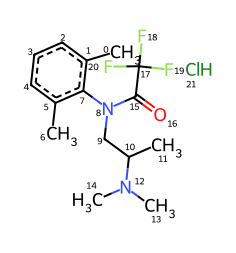 Cc1cccc(C)c1N(CC(C)N(C)C)C(=O)C(F)(F)F.Cl